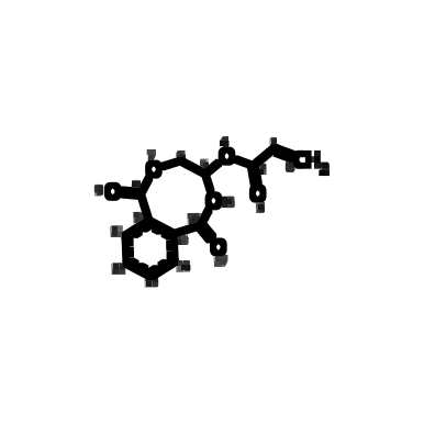 C=CC(=O)OC1COC(=O)c2ccccc2C(=O)O1